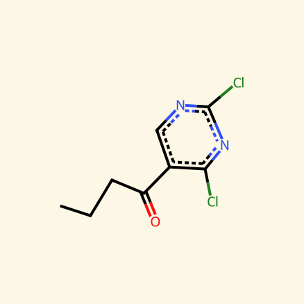 CCCC(=O)c1cnc(Cl)nc1Cl